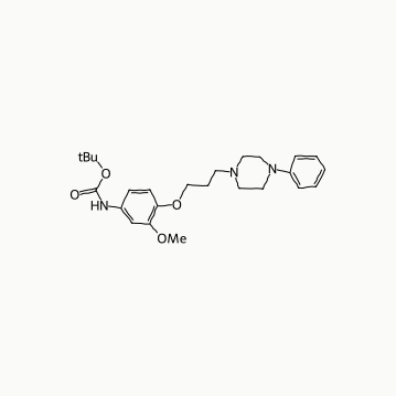 COc1cc(NC(=O)OC(C)(C)C)ccc1OCCCN1CCN(c2ccccc2)CC1